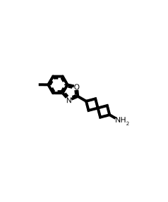 Cc1ccc2oc(C3CC4(CC(N)C4)C3)nc2c1